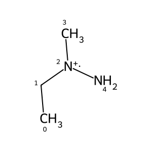 CC[N+](C)N